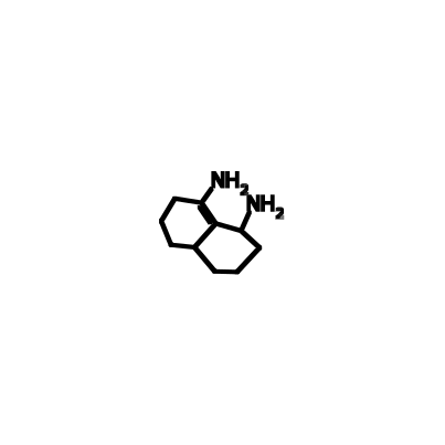 NC1=C2C(N)CCCC2CCC1